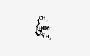 Br.CCCCn1cc[n+](C)c1.Cl.[Br-]